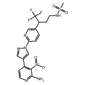 CS(=O)(=O)NCCC(c1ccc(-n2cc(-c3ccnc(N)c3[N+](=O)[O-])cn2)nc1)C(F)(F)F